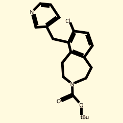 CC(C)(C)OC(=O)N1CCc2ccc(Cl)c(Cc3cccnc3)c2CC1